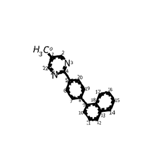 Cc1cnc(-c2ccc(-c3cccc4ccccc34)cc2)nc1